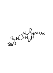 CCn1c(C(=O)NNC(C)=O)nc2c1CN(C(=O)OC(C)(C)C)C2